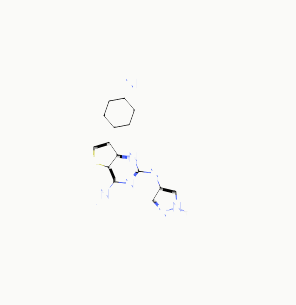 Cn1cc(Nc2nc(N)c3scc([C@H]4CC[C@@H](N)CC4)c3n2)cn1